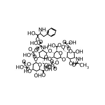 CC(=O)N[C@@H]1[C@@H](O)[C@H](O[C@@H]2O[C@H](C(=O)O)[C@@H](O[C@@H]3O[C@H](CO)[C@@H](O[C@H]4O[C@@H](C(=O)O)[C@H](O)[C@@H](O)[C@@H]4OS(=O)(=O)O)[C@H](OS(=O)(=O)O)[C@H]3NS(=O)(=O)O)[C@H](O)[C@H]2OS(=O)(=O)O)[C@H](COS(=O)(=O)O)O[C@H]1O.N[C@@H](Cc1ccccc1)C(=O)O